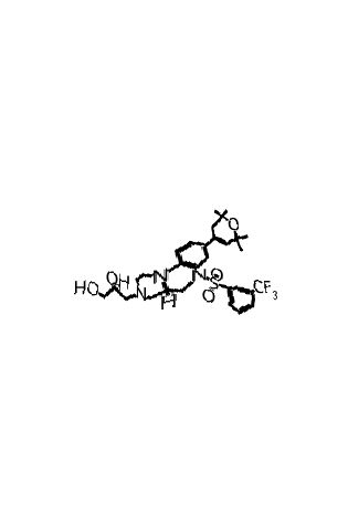 CC1(C)C=C(c2ccc3c(c2)N(S(=O)(=O)c2cccc(C(F)(F)F)c2)C[C@@H]2CN(C[C@H](O)CO)CCN32)CC(C)(C)O1